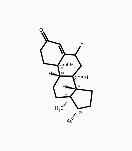 CC(=O)[C@H]1CC[C@H]2[C@@H]3CC(F)C4=CC(=O)CC[C@]4(C)[C@H]3CC[C@]12C